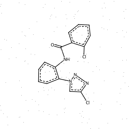 O=C(Nc1ccccc1-n1cc(Cl)nn1)c1ccccc1Cl